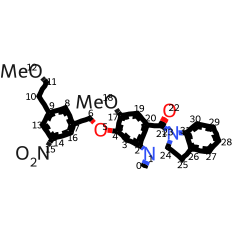 C=Nc1cc(OCc2cc(CCOC)cc([N+](=O)[O-])c2)c(OC)cc1C(=O)N1CCc2ccccc21